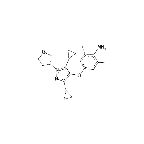 Cc1cc(Oc2c(C3CC3)nn(C3CCOC3)c2C2CC2)cc(C)c1N